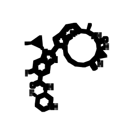 C=C1CCCCn2c(-c3nc4cc(C(=O)N[C@H]5CNCC[C@@H]5F)c(F)cc4n3[C@H]3C[C@@H]3C)cc3ccc(nc32)[C@@H](C)NC(=O)[C@@H]2C[C@@H]12